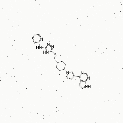 c1cnc(Nc2nnc(SC[C@H]3CC[C@@H](n4cc(-c5ncnc6[nH]ccc56)cn4)CC3)[nH]2)nc1